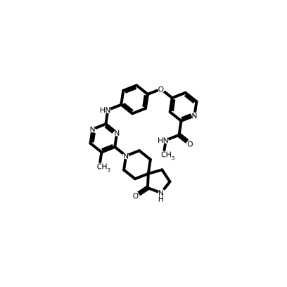 CNC(=O)c1cc(Oc2ccc(Nc3ncc(C)c(N4CCC5(CCNC5=O)CC4)n3)cc2)ccn1